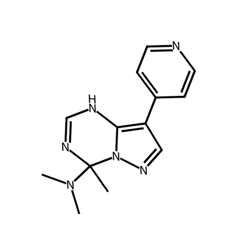 CN(C)C1(C)N=CNc2c(-c3ccncc3)cnn21